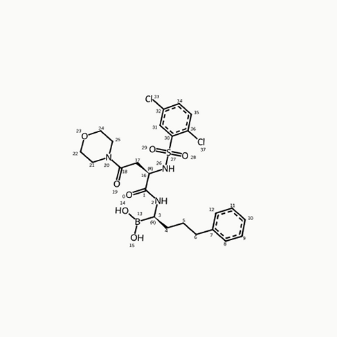 O=C(N[C@@H](CCCc1ccccc1)B(O)O)[C@@H](CC(=O)N1CCOCC1)NS(=O)(=O)c1cc(Cl)ccc1Cl